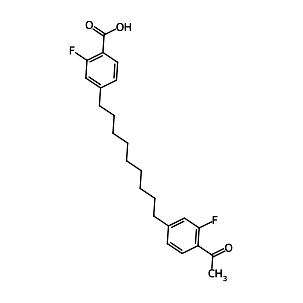 CC(=O)c1ccc(CCCCCCCCCc2ccc(C(=O)O)c(F)c2)cc1F